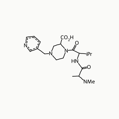 CNC(C)C(=O)NC(C(=O)N1CCN(Cc2cccnc2)CC1C(=O)O)C(C)C